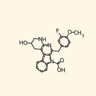 COc1ccc(Cc2nc3c(c4c5ccccc5n(C(=O)O)c24)CC(O)CN3)cc1F